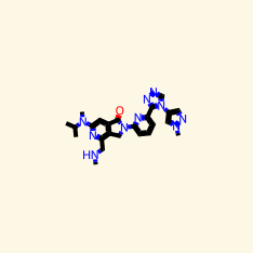 CNCc1nc(N(C)C(C)C)cc2c1CN(c1cccc(-c3nncn3-c3cnn(C)c3)n1)C2=O